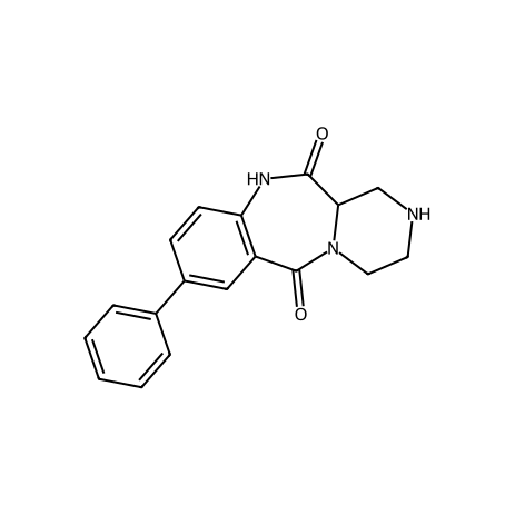 O=C1Nc2ccc(-c3ccccc3)cc2C(=O)N2CCNCC12